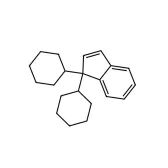 C1=CC(C2CCCCC2)(C2CCCCC2)c2ccccc21